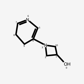 OC1CN(C2=CN=CCC2)C1